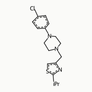 CC(C)c1nc(CN2CCN(c3ccc(Cl)cc3)CC2)cs1